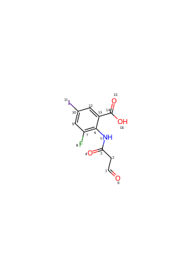 O=CCC(=O)Nc1c(F)cc(I)cc1C(=O)O